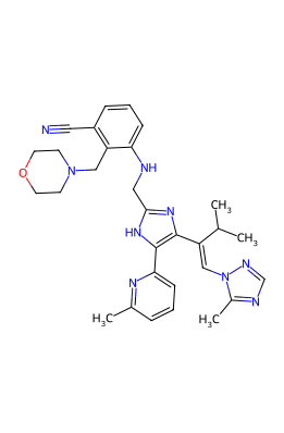 Cc1cccc(-c2[nH]c(CNc3cccc(C#N)c3CN3CCOCC3)nc2/C(=C/n2ncnc2C)C(C)C)n1